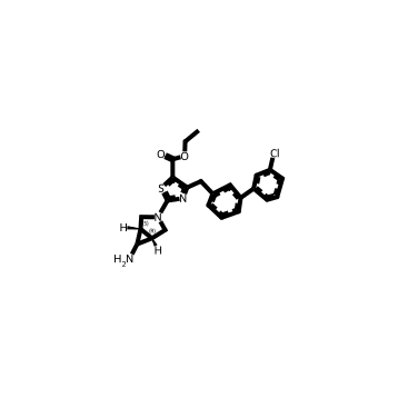 CCOC(=O)c1sc(N2C[C@@H]3C(N)[C@@H]3C2)nc1Cc1cccc(-c2cccc(Cl)c2)c1